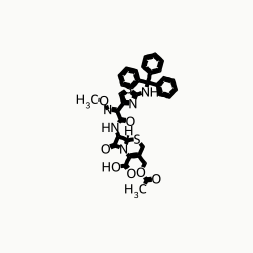 CON=C(C(=O)NC1C(=O)N2C(C(=O)O)=C(COC(C)=O)CS[C@@H]12)c1csc(NC(c2ccccc2)(c2ccccc2)c2ccccc2)n1